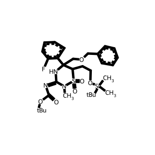 CN1/C(=N\C(=O)OC(C)(C)C)NC(COCc2ccccc2)(c2ccccc2F)C(CCO[Si](C)(C)C(C)(C)C)S1(=O)=O